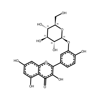 O=c1c(O)c(-c2ccc(O)c(O[C@@H]3O[C@H](CO)[C@@H](O)[C@H](O)[C@H]3O)c2)oc2cc(O)cc(O)c12